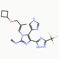 C=Nc1nc(-c2nc(C(F)(F)F)n[nH]2)c(-c2c[nH]cn2)n1/C=C(\C)COC1CCC1